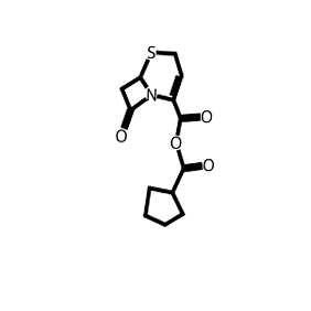 O=C(OC(=O)C1CCCC1)C1=CCSC2CC(=O)N12